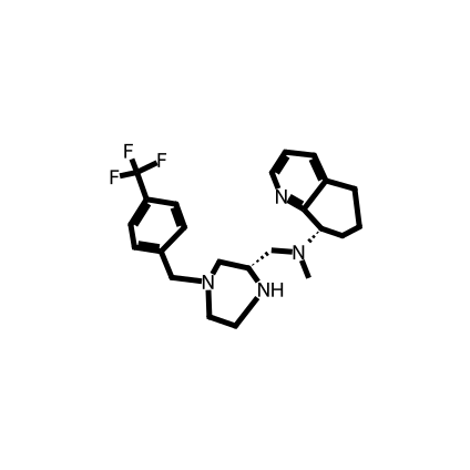 CN(C[C@H]1CN(Cc2ccc(C(F)(F)F)cc2)CCN1)[C@H]1CCCc2cccnc21